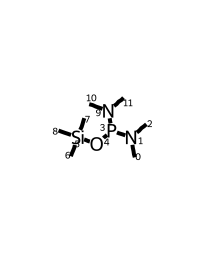 CN(C)P(O[Si](C)(C)C)N(C)C